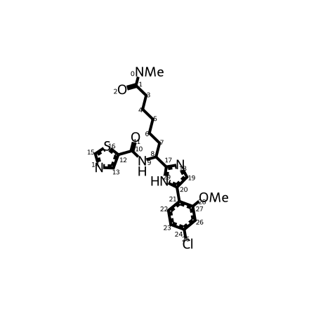 CNC(=O)CCCCCC(NC(=O)c1cncs1)c1ncc(-c2ccc(Cl)cc2OC)[nH]1